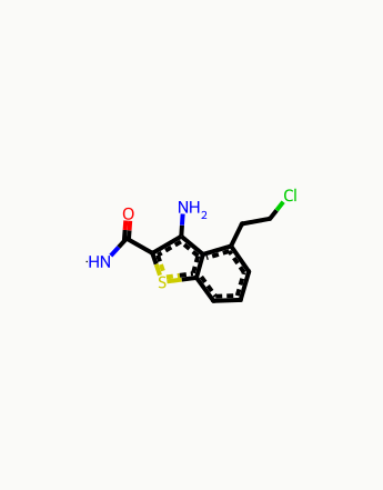 [NH]C(=O)c1sc2cccc(CCCl)c2c1N